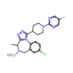 CCOC(=O)N1Cc2cc(Cl)ccc2-n2c(C3CCN(c4ncc(F)cn4)CC3)nnc2C1C